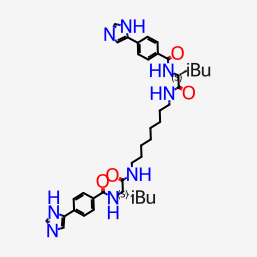 CCC(C)[C@H](NC(=O)c1ccc(-c2cnc[nH]2)cc1)C(=O)NCCCCCCCCNC(=O)[C@@H](NC(=O)c1ccc(-c2cnc[nH]2)cc1)C(C)CC